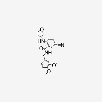 COc1ccc(CNC(=O)c2cc(C#N)ccc2N[C@@H]2CCOC2)cc1OC